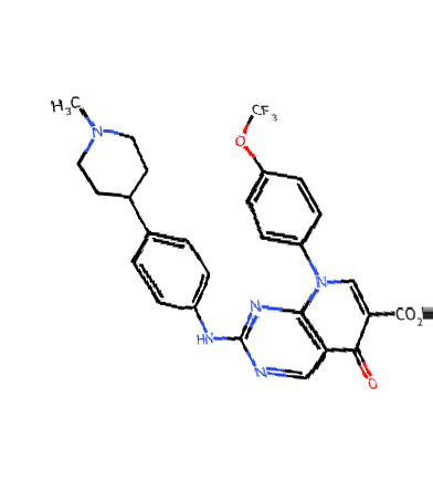 CN1CCC(c2ccc(Nc3ncc4c(=O)c(C(=O)O)cn(-c5ccc(OC(F)(F)F)cc5)c4n3)cc2)CC1